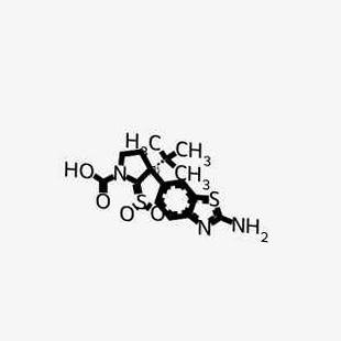 CC(C)(C)[C@@]1(c2ccc3nc(N)sc3c2)CCN(C(=O)O)C1=S(=O)=O